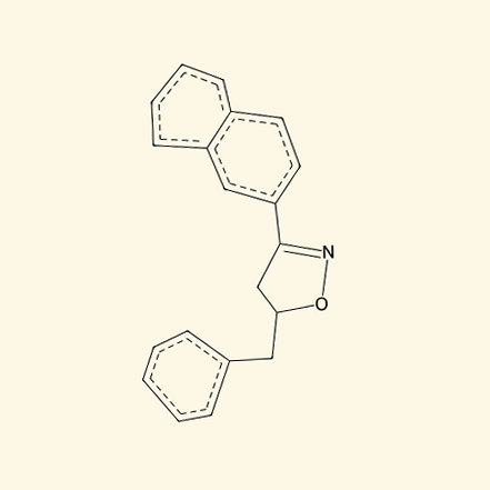 c1ccc(CC2CC(c3ccc4ccccc4c3)=NO2)cc1